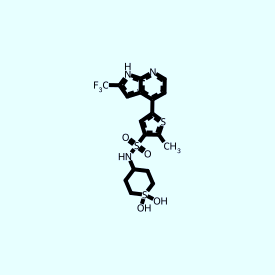 Cc1sc(-c2ccnc3[nH]c(C(F)(F)F)cc23)cc1S(=O)(=O)NC1CCS(O)(O)CC1